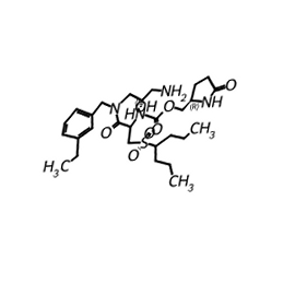 CCCC(CCC)S(=O)(=O)CC(NC(=O)OC[C@H]1CCC(=O)N1)C(=O)N(Cc1cccc(CC)c1)C[C@@H](O)CN